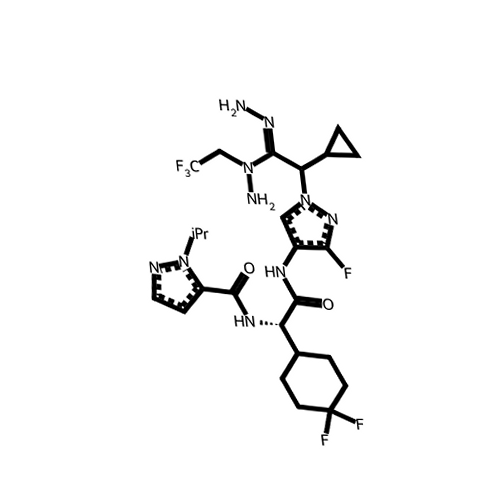 CC(C)n1nccc1C(=O)N[C@H](C(=O)Nc1cn(C(/C(=N/N)N(N)CC(F)(F)F)C2CC2)nc1F)C1CCC(F)(F)CC1